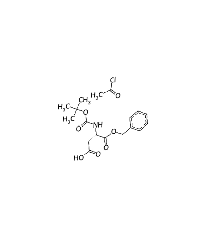 CC(=O)Cl.CC(C)(C)OC(=O)N[C@@H](CC(=O)O)C(=O)OCc1ccccc1